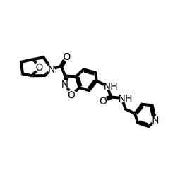 O=C(NCc1ccncc1)Nc1ccc2c(C(=O)N3CC4CCC(C3)O4)noc2c1